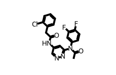 CC(=O)N(c1ccc(F)c(F)c1)c1cc(NC(=O)Cc2ccccc2Cl)cnn1